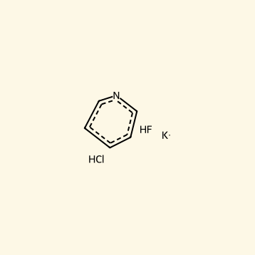 Cl.F.[K].c1ccncc1